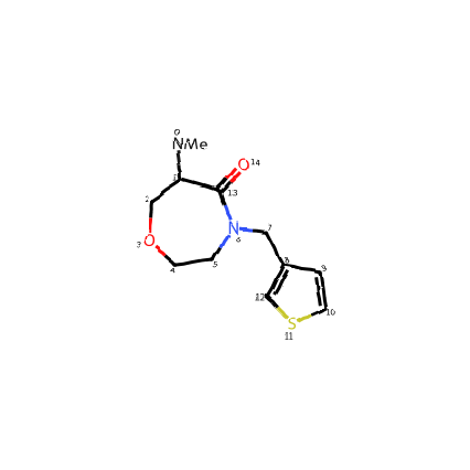 CNC1COCCN(Cc2ccsc2)C1=O